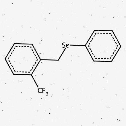 FC(F)(F)c1ccccc1C[Se]c1ccccc1